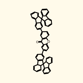 O=c1c2cc(-c3ccc4c(c3)C3(c5ccccc5-c5ccccc53)c3ccccc3-4)ccc2oc2ccc(-c3ccc4c(c3)C3(c5ccccc5C5C=CC=CC53)C3C=CC=CC43)cc12